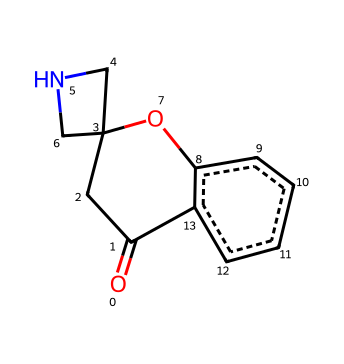 O=C1CC2(CNC2)Oc2ccccc21